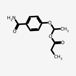 CCC(=O)OC(C)Oc1ccc(C(N)=O)cc1